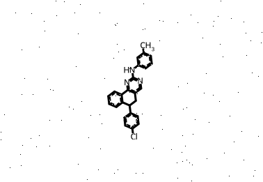 Cc1cccc(Nc2ncc3c(n2)-c2ccccc2C(c2ccc(Cl)cc2)C3)c1